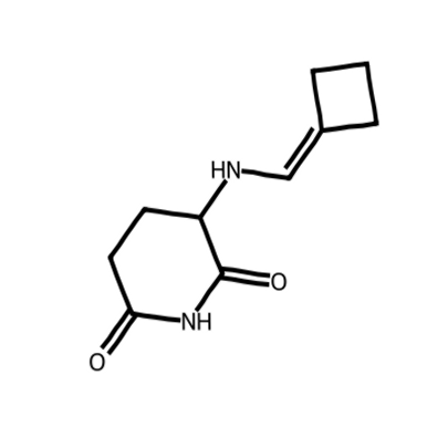 O=C1CCC(NC=C2CCC2)C(=O)N1